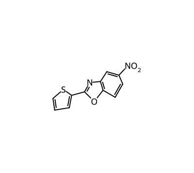 O=[N+]([O-])c1ccc2oc(-c3cccs3)nc2c1